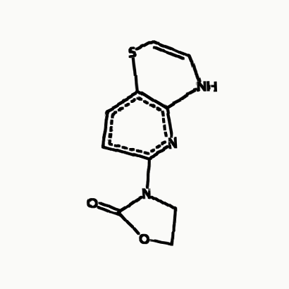 O=C1OCCN1c1ccc2c(n1)NC=CS2